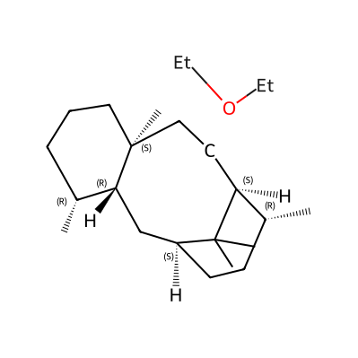 CCOCC.C[C@@H]1CCC[C@@]2(C)CC[C@H]3[C@H](C)CC[C@@H](C[C@H]12)C3(C)C